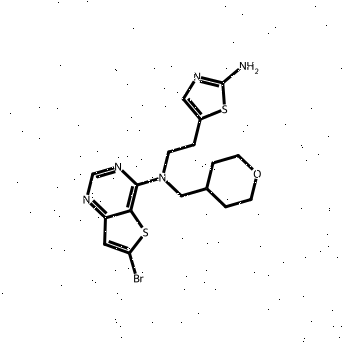 Nc1ncc(CCN(CC2CCOCC2)c2ncnc3cc(Br)sc23)s1